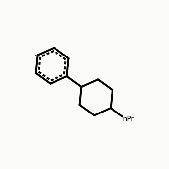 CCCC1CCC(c2cc[c]cc2)CC1